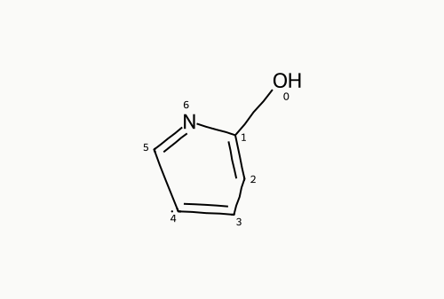 Oc1cc[c]cn1